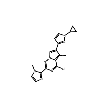 Cc1c(-c2ccn(C3CC3)n2)cn2nc(-c3nccn3C)nc(Cl)c12